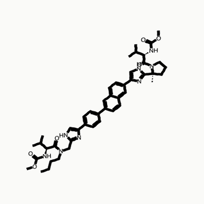 CCCCN(Cc1nc(-c2ccc(-c3ccc4cc(-c5c[nH]c([C@]6(C)CCCN6C(=O)[C@@H](NC(=O)OC)C(C)C)n5)ccc4c3)cc2)c[nH]1)C(=O)[C@@H](NC(=O)OC)C(C)C